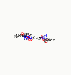 COC(=O)N[C@H](C(=O)N1CCCC1c1nc(C=C=C=CC=C=C=Cc2coc(C3CCCN3C(=O)[C@@H](NC(=O)OC)C(C)C)n2)co1)C(C)C